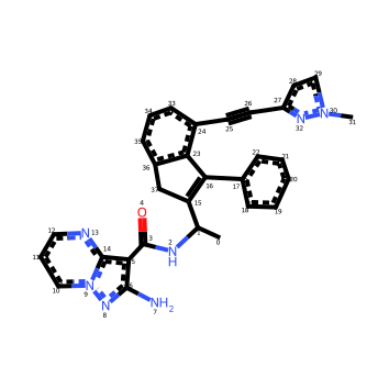 CC(NC(=O)c1c(N)nn2cccnc12)C1=C(c2ccccc2)c2c(C#Cc3ccn(C)n3)cccc2C1